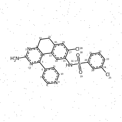 Nc1nc2c(c(-c3ccncc3)n1)-c1cc(NS(=O)(=O)c3cccc(Cl)c3)c(Cl)cc1CC2